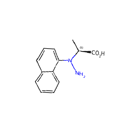 C[C@@H](C(=O)O)N(N)c1cccc2ccccc12